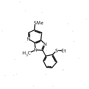 CCSc1ccccc1-c1nc2cc(SC)cnc2n1C